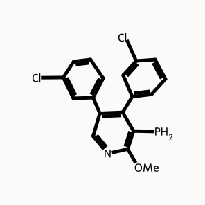 COc1ncc(-c2cccc(Cl)c2)c(-c2cccc(Cl)c2)c1P